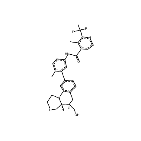 Cc1ccc(NC(=O)c2ccnc(C(C)(F)F)c2C)cc1-c1ccc2c(c1)N1CCOC[C@H]1[C@](F)(CO)C2